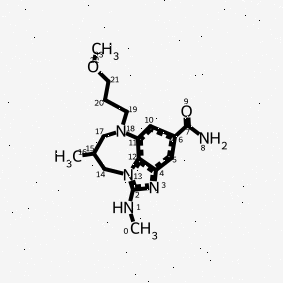 CNc1nc2cc(C(N)=O)cc3c2n1CC(C)CN3CCCOC